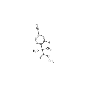 COC(=O)C(C)(C)c1ccc(C#N)cc1F